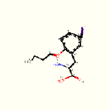 CCCCOc1ccc(I)cc1C[C@H](N)C(=O)O